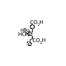 CCCCc1ncc(/C=C(\Cc2cccs2)C(=O)O)n1Cc1ccc(C(=O)O)cc1.Cl